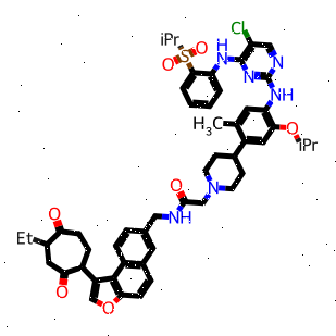 CCC1CC(=O)C(c2coc3ccc4cc(CNC(=O)CN5CCC(c6cc(OC(C)C)c(Nc7ncc(Cl)c(Nc8ccccc8S(=O)(=O)C(C)C)n7)cc6C)CC5)ccc4c23)CCC1=O